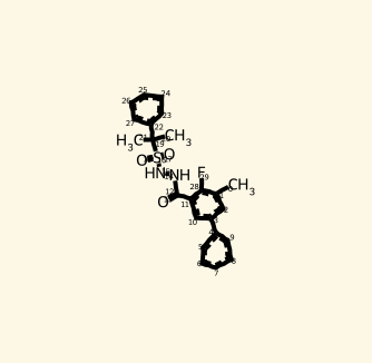 Cc1cc(-c2ccccc2)cc(C(=O)NNS(=O)(=O)C(C)(C)c2ccccc2)c1F